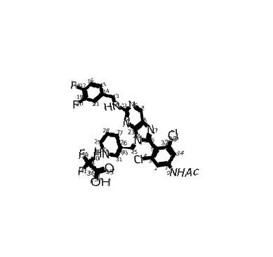 CC(=O)Nc1cc(Cl)c(-c2nc3cnc(NCc4ccc(F)c(F)c4)nc3n2C[C@@H]2CCCNC2)c(Cl)c1.O=C(O)C(F)(F)F